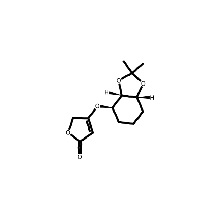 CC1(C)O[C@H]2[C@H](OC3=CC(=O)OC3)CCC[C@H]2O1